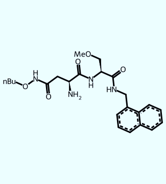 CCCCONC(=O)C[C@H](N)C(=O)N[C@@H](COC)C(=O)NCc1cccc2ccccc12